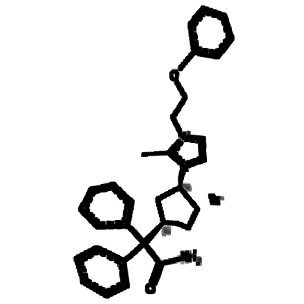 Cc1n([C@H]2CC[C@@H](C(C(N)=O)(c3ccccc3)c3ccccc3)C2)cc[n+]1CCOc1ccccc1.[Br-]